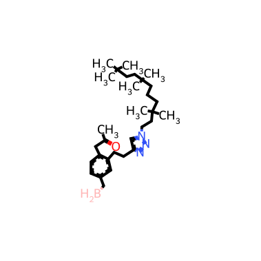 BCc1ccc(CC(C)=O)c(CCc2cn(CCC(C)(C)CCCC(C)(C)CCC(C)(C)C)nn2)c1